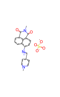 CN1C(=O)c2cccc3c(/N=C/c4cc[n+](C)cc4)ccc(c23)C1=O.COS(=O)(=O)[O-]